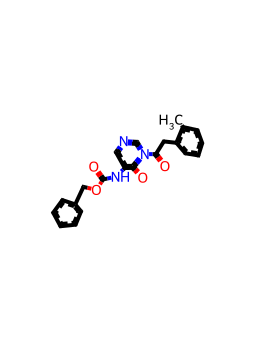 Cc1ccccc1CC(=O)n1cncc(NC(=O)OCc2ccccc2)c1=O